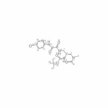 CC(=O)N(C)C[C@H](CNC(=O)C(=O)Nc1ccc(Cl)cn1)NC(=O)OC(C)(C)C